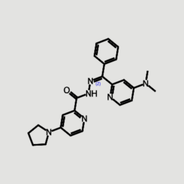 CN(C)c1ccnc(/C(=N\NC(=O)c2cc(N3CCCC3)ccn2)c2ccccc2)c1